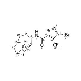 CC(C)(C)n1ncc(C(=O)N[C@H]2CCC3CC4CC(C3)C2C4)c1C(F)(F)F